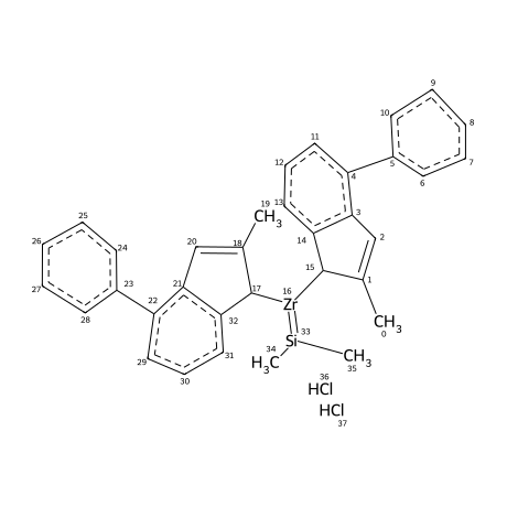 CC1=Cc2c(-c3ccccc3)cccc2[CH]1[Zr]([CH]1C(C)=Cc2c(-c3ccccc3)cccc21)=[Si](C)C.Cl.Cl